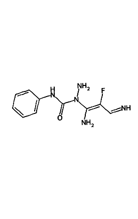 N=C/C(F)=C(\N)N(N)C(=O)Nc1ccccc1